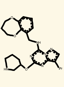 CC(C)c1cnn2c(NCc3cccc4c3OCCCO4)nc(OC3CCCNC3)nc12